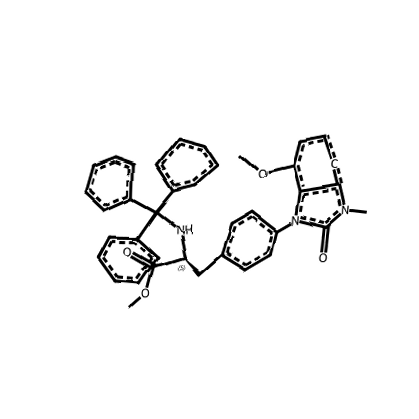 COC(=O)[C@H](Cc1ccc(-n2c(=O)n(C)c3cccc(OC)c32)cc1)NC(c1ccccc1)(c1ccccc1)c1ccccc1